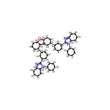 c1ccc(-n2c(-c3cccc(-c4ccc5oc6cccc(-c7cccc(-c8nc9ccccc9n8-c8ccccc8)c7)c6c5c4)c3)nc3ccccc32)cc1